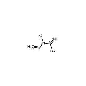 C=CN(C(=N)CC)C(C)C